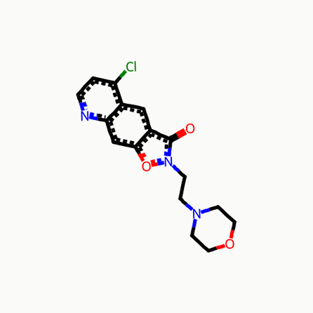 O=c1c2cc3c(Cl)ccnc3cc2on1CCN1CCOCC1